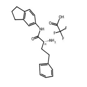 N[C@H](CCc1ccccc1)C(=O)Nc1ccc2c(c1)CCC2.O=C(O)C(F)(F)F